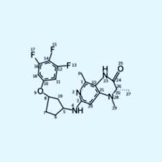 Cc1nc(NC2CCC(Oc3cc(F)c(F)c(F)c3)C2)cc2c1NC(=O)[C@H](C)N2C